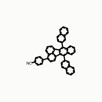 N#Cc1ccc(-c2ccc3c4c(cccc24)-c2c-3c(-c3ccc4ccccc4c3)c3ccccc3c2-c2ccc3ccccc3c2)cc1